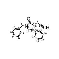 C#CC[C@H]1C(=O)N(Cc2ccccc2)C[C@@H]1c1ccccc1